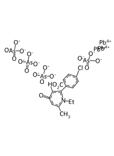 CCn1c(C)cc(=O)c(C(=O)O)c1-c1ccc(Cl)cc1.O=[As]([O-])([O-])[O-].O=[As]([O-])([O-])[O-].O=[As]([O-])([O-])[O-].O=[As]([O-])([O-])[O-].[Pb+4].[Pb+4].[Pb+4]